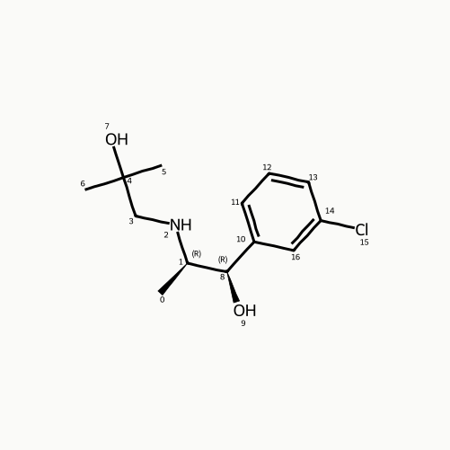 C[C@@H](NCC(C)(C)O)[C@H](O)c1cccc(Cl)c1